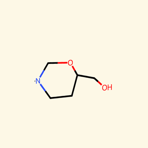 OCC1CC[N]CO1